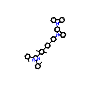 Cc1cc(-c2cc(-c3ccccc3C)nc(-c3ccccc3C)n2)c(C)cc1-c1ccc(-c2ccc(-n3c4ccccc4c4cc(-n5c6ccccc6c6ccccc65)ccc43)cc2)cc1